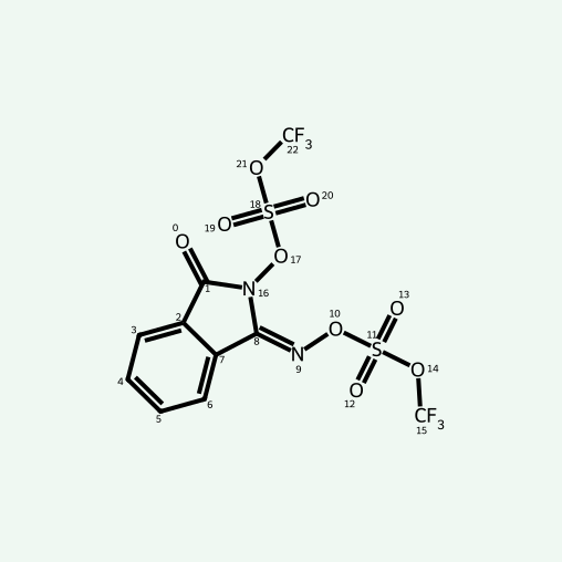 O=C1c2ccccc2C(=NOS(=O)(=O)OC(F)(F)F)N1OS(=O)(=O)OC(F)(F)F